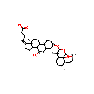 C[C@H]1C(O[C@@H]2CC[C@@]3(C)C(C2)C[C@@H](O)C2C3CC[C@@]3(C)C2CC[C@@H]3[C@H](C)CCC(=O)O)OC2O[C@]3(C)CCC4[C@H](C)CCC1C24OO3